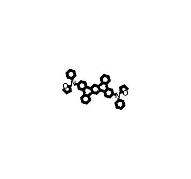 c1ccc(N(c2ccc3c(c2)c2ccccc2c2cc4c5ccc(N(c6ccccc6)c6ccco6)cc5c5ccccc5c4cc32)c2ccco2)cc1